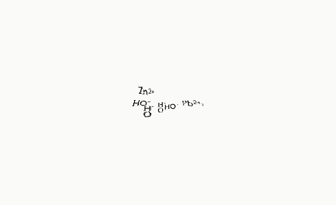 [OH-].[OH-].[OH-].[OH-].[Pb+2].[Zn+2]